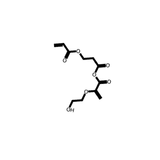 C=CC(=O)OCCC(=O)OC(=O)C(=C)OCCO